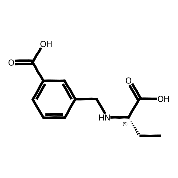 CC[C@H](NCc1cccc(C(=O)O)c1)C(=O)O